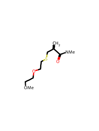 C=C(CSCCOCCOC)C(=O)NC